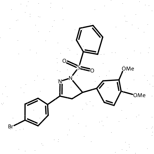 COc1ccc(C2CC(c3ccc(Br)cc3)=NN2S(=O)(=O)c2ccccc2)cc1OC